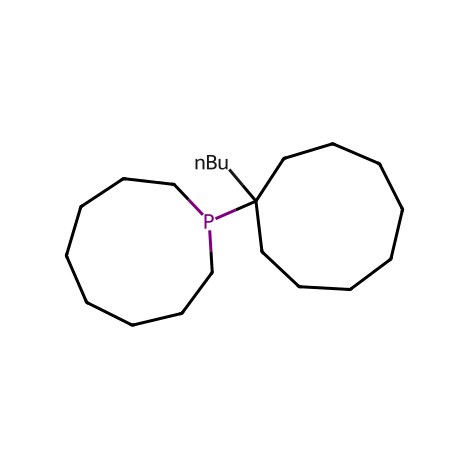 CCCCC1(P2CCCCCCCC2)CCCCCCCC1